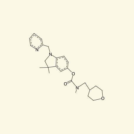 CN(CC1CCOCC1)C(=O)Oc1ccc2c(c1)C(C)(C)CN2Cc1ccccn1